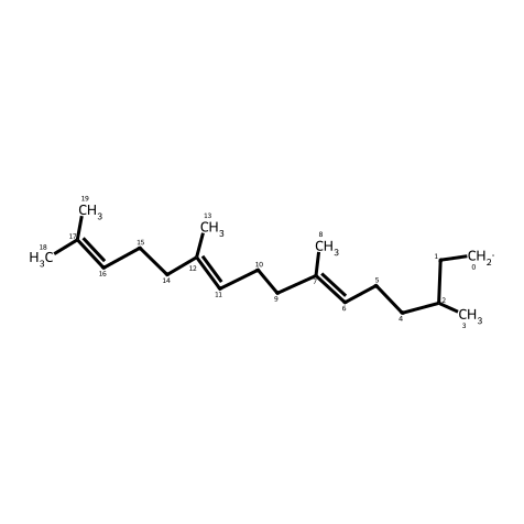 [CH2]CC(C)CC/C=C(\C)CC/C=C(\C)CCC=C(C)C